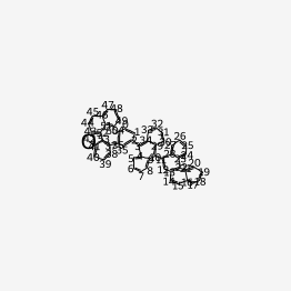 c1cc(-c2c3ccccc3c(-c3cc4ccc5ccccc5c4c4ccccc34)c3ccccc23)cc(-c2cccc3oc4ccc5ccccc5c4c23)c1